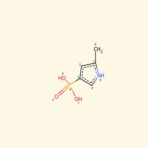 [CH2]c1cc(P(=O)(O)O)c[nH]1